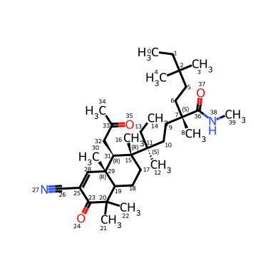 CCC(C)(C)CC[C@@](C)(CC[C@](C)(CC)[C@]1(C)CCC2C(C)(C)C(=O)C(C#N)=C[C@]2(C)[C@H]1CC(C)=O)C(=O)NC